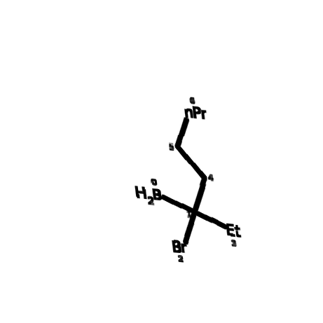 BC(Br)(CC)CCCCC